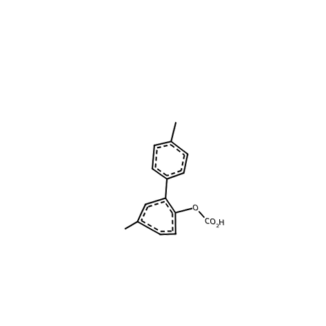 Cc1ccc(-c2cc(C)ccc2OC(=O)O)cc1